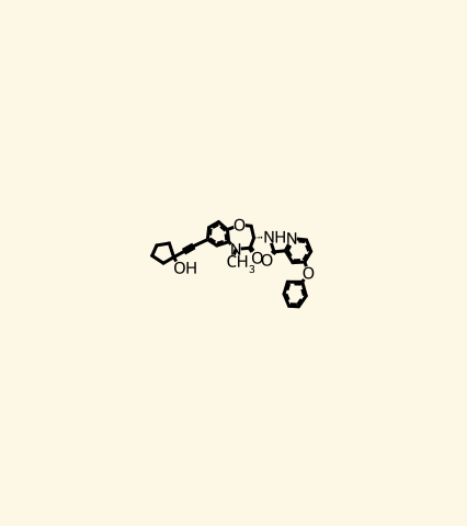 CN1C(=O)[C@@H](NC(=O)c2cc(Oc3ccccc3)ccn2)COc2ccc(C#CC3(O)CCCC3)cc21